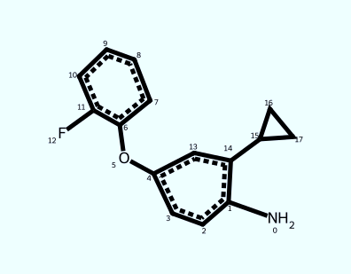 Nc1ccc(Oc2ccccc2F)cc1C1CC1